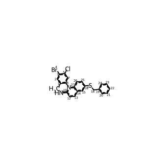 Cc1cc(Br)c(Cl)cc1-n1c(=N)ccc2cc(SCc3ccccc3)ccc21